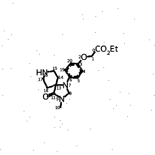 CCOC(=O)COc1ccc(N2CN(C)C(=O)C23CCNCC3)cc1